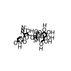 [N-]=[N+]=NC1[C@H](n2ccc(=O)[nH]c2=O)O[C@H](COP(=O)(S)OP(=O)(O)OC2OC([C@@H](O)CO)C(O)C(O)C2O)[C@H]1O